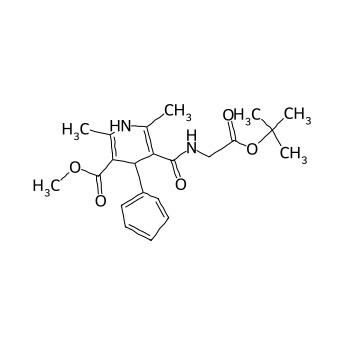 COC(=O)C1=C(C)NC(C)=C(C(=O)NCC(=O)OC(C)(C)C)C1c1ccccc1